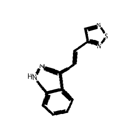 C(=Cc1n[nH]c2ccccc12)c1cnsn1